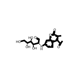 CC(=O)c1c(C)c(=O)oc2cc(N[C@@H](C=O)[C@@H](O)[C@H](O)[C@H](O)CO)ccc12